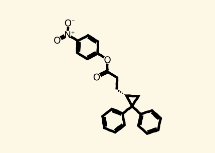 O=C(CC[C@@H]1CC1(c1ccccc1)c1ccccc1)Oc1ccc([N+](=O)[O-])cc1